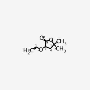 C=COC1CC(C)(C)OC1=O